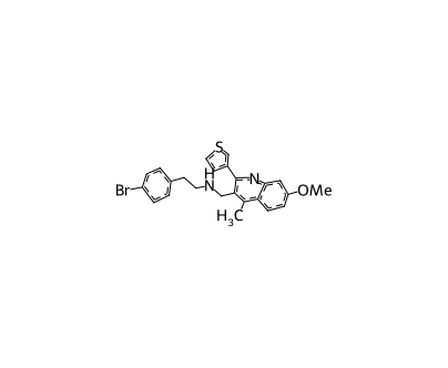 COc1ccc2c(C)c(CNCCc3ccc(Br)cc3)c(-c3ccsc3)nc2c1